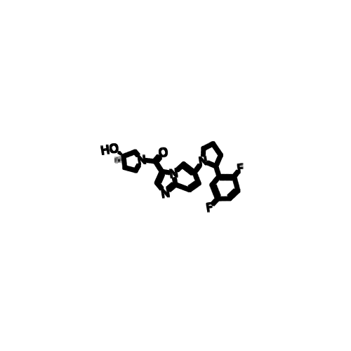 O=C(c1cnc2ccc(N3CCCC3c3cc(F)ccc3F)cn12)N1CC[C@H](O)C1